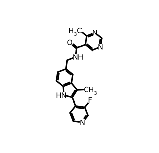 Cc1ncncc1C(=O)NCc1ccc2[nH]c(-c3ccncc3F)c(C)c2c1